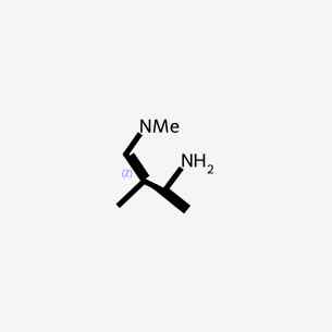 C=C(N)/C(C)=C\NC